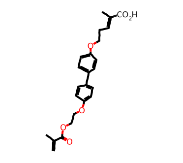 C=C(C)C(=O)OCCOc1ccc(-c2ccc(OCCC=C(C)C(=O)O)cc2)cc1